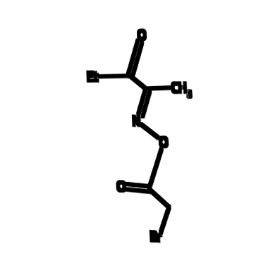 CCC(=O)C(C)=NOC(=O)CBr